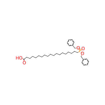 O=C(O)CCCCCCCCCCCCCCCCCCP(=O)(OCc1ccccc1)OCc1ccccc1